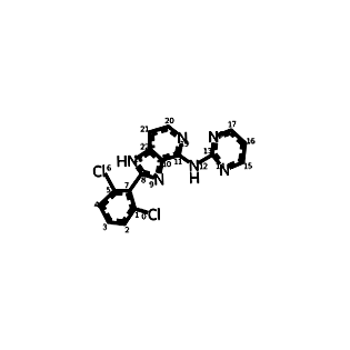 Clc1cccc(Cl)c1-c1nc2c(Nc3ncccn3)nccc2[nH]1